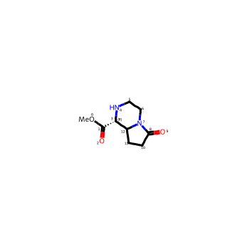 COC(=O)[C@@H]1NCCN2C(=O)CCC12